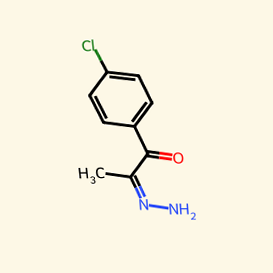 C/C(=N/N)C(=O)c1ccc(Cl)cc1